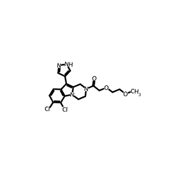 COCCOCC(=O)N1CCn2c(c(-c3cn[nH]c3)c3ccc(Cl)c(Cl)c32)C1